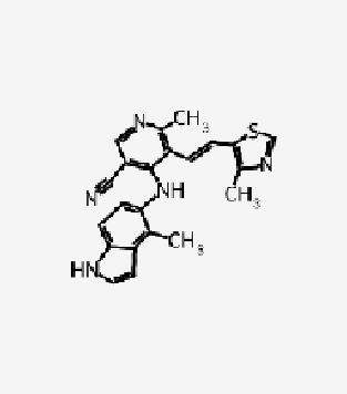 Cc1ncsc1C=Cc1c(C)ncc(C#N)c1Nc1ccc2[nH]ccc2c1C